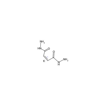 NNC(=O)/C=C\C(=O)NN.[K]